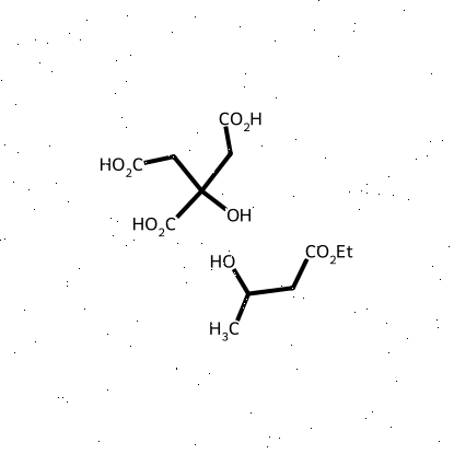 CCOC(=O)CC(C)O.O=C(O)CC(O)(CC(=O)O)C(=O)O